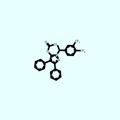 CC(c1ccc(C(F)(F)F)c(C(F)(F)F)c1)n1nc(-c2ccccc2)c(-c2ccccc2)c1OC(=O)C(F)(F)F